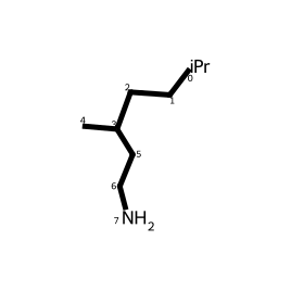 CC(C)CCC(C)CCN